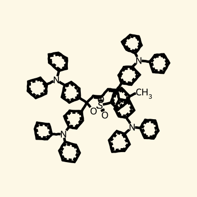 Cc1ccc(S(=O)(=O)OC(/C=C/C=C(c2ccc(N(c3ccccc3)c3ccccc3)cc2)c2ccc(N(c3ccccc3)c3ccccc3)cc2)(c2ccc(N(c3ccccc3)c3ccccc3)cc2)c2ccc(N(c3ccccc3)c3ccccc3)cc2)cc1